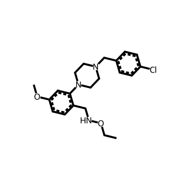 CCONCc1ccc(OC)cc1N1CCN(Cc2ccc(Cl)cc2)CC1